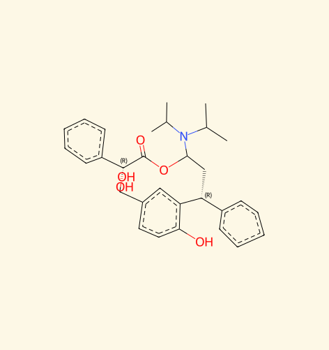 CC(C)N(C(C)C)C(C[C@H](c1ccccc1)c1cc(CO)ccc1O)OC(=O)[C@H](O)c1ccccc1